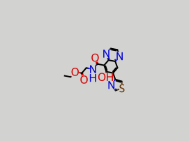 CCOC(=O)CNC(=O)c1c(O)c(-c2cscn2)cc2nccnc12